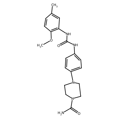 COc1ccc(C)cc1NC(=O)Nc1ccc(N2CCN(C(N)=O)CC2)cc1